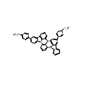 O=C(O)c1ccc(-c2ccc3c(c2)-c2cccc4c2B3c2cccc3c2N4c2cc(-c4ccc(C(=O)O)cc4)cc4c2B3c2ccccc2-4)cc1